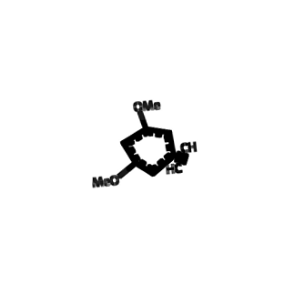 C#C.COc1cccc(OC)c1